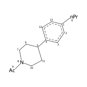 CCCc1ccc(C2CCN(C(C)=O)CC2)cc1